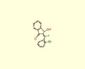 O=C1/C(=C(/F)c2ccccc2Br)C(O)c2ccccc21